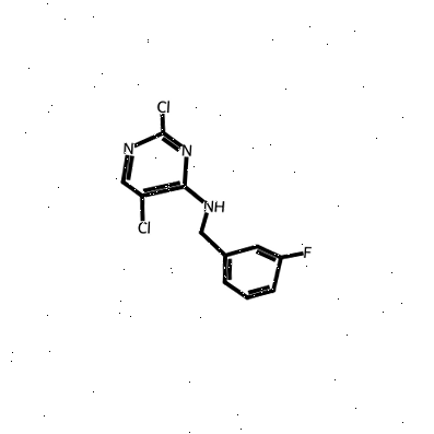 Fc1cccc(CNc2nc(Cl)ncc2Cl)c1